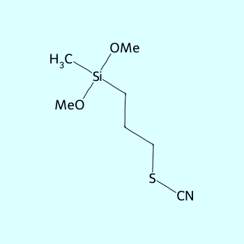 CO[Si](C)(CCCSC#N)OC